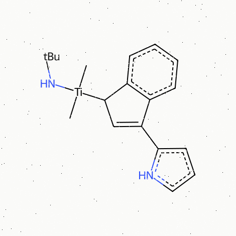 CC(C)(C)[NH][Ti]([CH3])([CH3])[CH]1C=C(c2ccc[nH]2)c2ccccc21